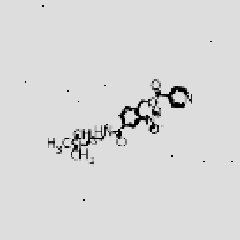 C[Si](C)(C)CCCNC(=O)c1ccc(COC(=O)c2ccncc2)c([N+](=O)[O-])c1